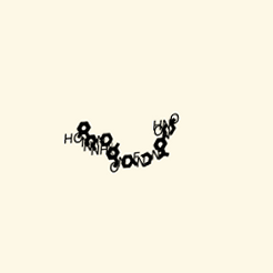 Cc1cc(C(=O)N2CCC(F)(CN3CCC(n4cc(C)c5cc(N6CCC(=O)NC6=O)ccc54)CC3)CC2)ccc1[C@H]1CCCN(c2cc(-c3ccccc3O)nnc2N)C1